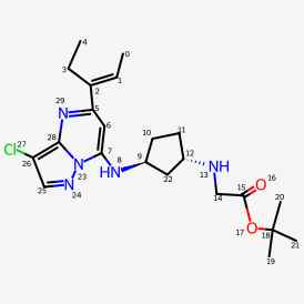 C/C=C(\CC)c1cc(N[C@H]2CC[C@H](NCC(=O)OC(C)(C)C)C2)n2ncc(Cl)c2n1